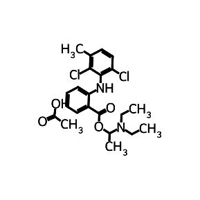 CC(=O)O.CCN(CC)C(C)OC(=O)c1ccccc1Nc1c(Cl)ccc(C)c1Cl